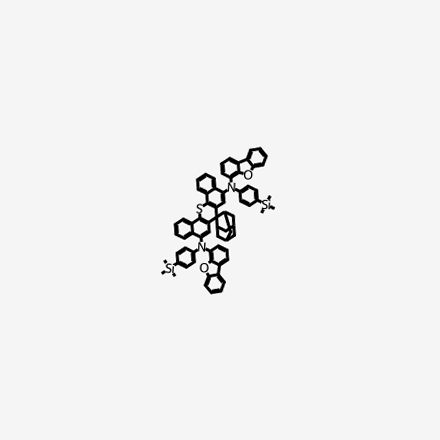 C[Si](C)(C)c1ccc(N(c2cc3c(c4ccccc24)Sc2c(cc(N(c4ccc([Si](C)(C)C)cc4)c4cccc5c4oc4ccccc45)c4ccccc24)C32C3CC4CC(C3)CC2C4)c2cccc3c2oc2ccccc23)cc1